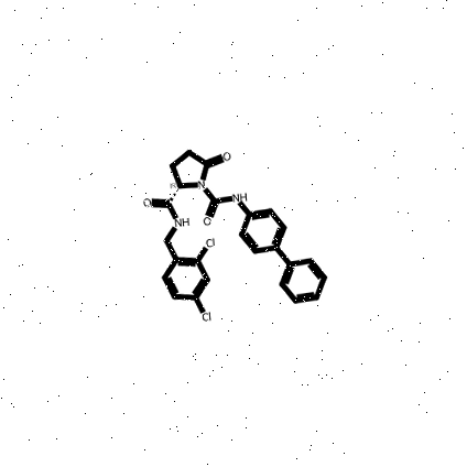 O=C(NCc1ccc(Cl)cc1Cl)[C@@H]1CCC(=O)N1C(=O)Nc1ccc(-c2ccccc2)cc1